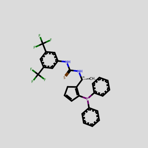 C[C@@H](NC(=S)Nc1cc(C(F)(F)F)cc(C(F)(F)F)c1)C1=C(P(c2ccccc2)c2ccccc2)C=CC1